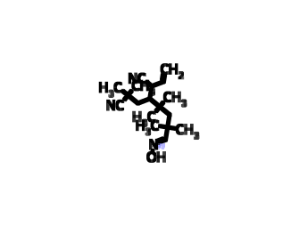 C=CC(C#N)C(CC(C)(C)C#N)C(C)(C)CC(C)(C)/C=N/O